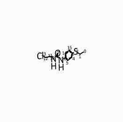 CCSc1ccc(NC(=O)NCCCl)cc1